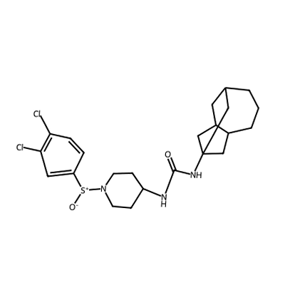 O=C(NC1CCN([S+]([O-])c2ccc(Cl)c(Cl)c2)CC1)NC12CC3CCCC(C1)C(C3)C2